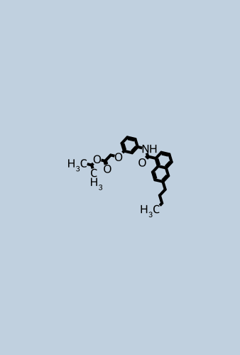 CCCCc1ccc2c(C(=O)Nc3cccc(OCC(=O)OC(C)C)c3)cccc2c1